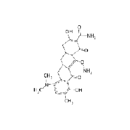 Cc1cc(N(C)C)c2c(c1O)C(=O)C1=C(ON)C3C(=O)C(C(N)=O)=C(O)CC3CC1C2